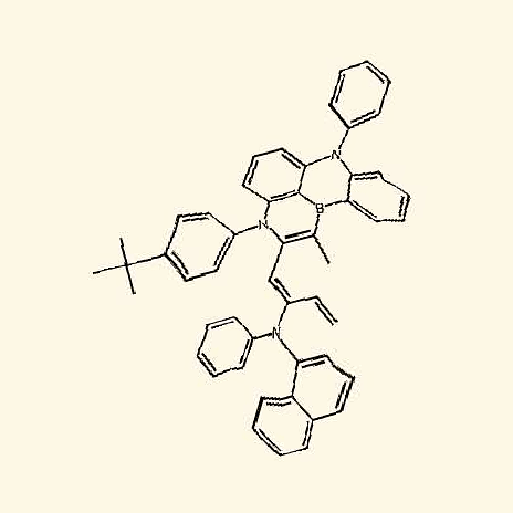 C=C/C(=C\C1=C(C)B2c3ccccc3N(c3ccccc3)c3cccc(c32)N1c1ccc(C(C)(C)C)cc1)N(c1ccccc1)c1cccc2ccccc12